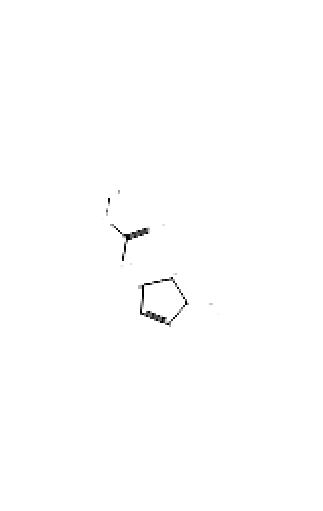 CC(C)(C)OC(=O)N[C@H]1C=C[C@@H](O)C1